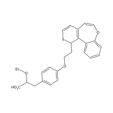 CCOC(Cc1ccc(OCCC2SC=CC3=C2c2ccccc2OC=C3)cc1)C(=O)O